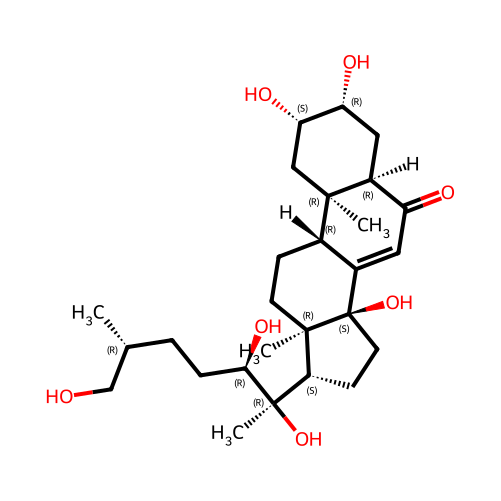 C[C@@H](CO)CC[C@@H](O)[C@](C)(O)[C@H]1CC[C@@]2(O)C3=CC(=O)[C@@H]4C[C@@H](O)[C@@H](O)C[C@]4(C)[C@H]3CC[C@]12C